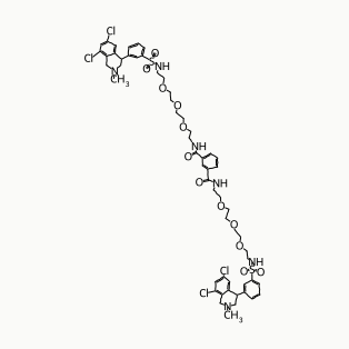 CN1Cc2c(Cl)cc(Cl)cc2C(c2cccc(S(=O)(=O)NCCOCCOCCOCCNC(=O)c3cccc(C(=O)NCCOCCOCCOCCNS(=O)(=O)c4cccc(C5CN(C)Cc6c(Cl)cc(Cl)cc65)c4)c3)c2)C1